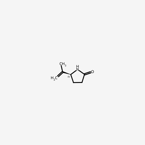 C=C(C)[C@@H]1CCC(=O)N1